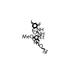 CC[C@@](CC(=O)OC)(NC(=O)Nc1c(F)cc(I)cc1F)c1cnn(COCC[Si](C)(C)C)c1